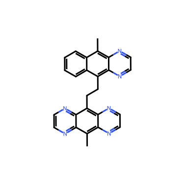 Cc1c2ccccc2c(CCc2c3nccnc3c(C)c3nccnc23)c2nccnc12